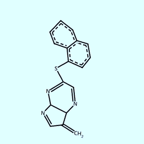 C=C1C=NC2N=C(Sc3cccc4ccccc34)C=NC12